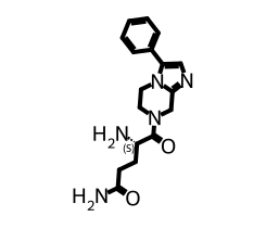 NC(=O)CC[C@H](N)C(=O)N1CCn2c(-c3ccccc3)cnc2C1